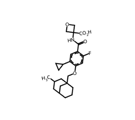 CC1CC2CCCC(COc3cc(F)c(C(=O)NC4(C(=O)O)COC4)cc3C3CC3)(C1)C2